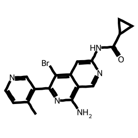 Cc1ccncc1-c1nc(N)c2cnc(NC(=O)C3CC3)cc2c1Br